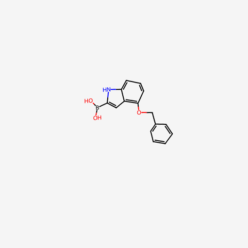 OB(O)c1cc2c(OCc3ccccc3)cccc2[nH]1